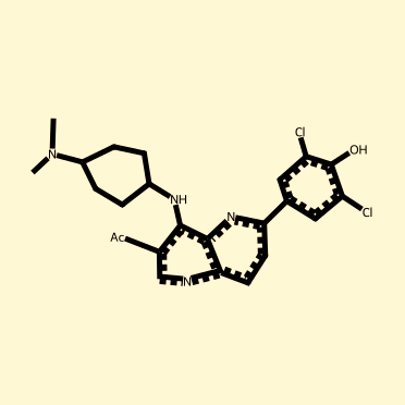 CC(=O)c1cnc2ccc(-c3cc(Cl)c(O)c(Cl)c3)nc2c1NC1CCC(N(C)C)CC1